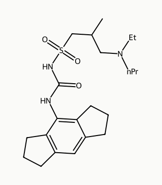 CCCN(CC)CC(C)CS(=O)(=O)NC(=O)Nc1c2c(cc3c1CCC3)CCC2